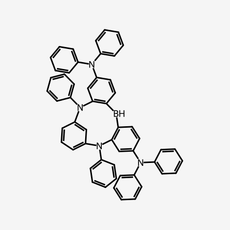 B1c2ccc(N(c3ccccc3)c3ccccc3)cc2N(c2ccccc2)c2cccc(c2)N(c2ccccc2)c2cc(N(c3ccccc3)c3ccccc3)ccc21